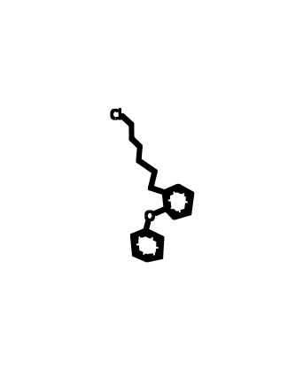 ClCCCCCCc1ccccc1Oc1ccccc1